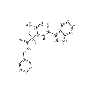 CC(C)(C(=O)OCc1ccccc1)C(NC(=O)c1n[nH]c2ccccc12)C(N)=O